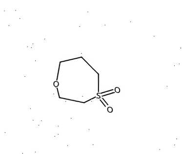 O=S1(=O)CCCOCC1